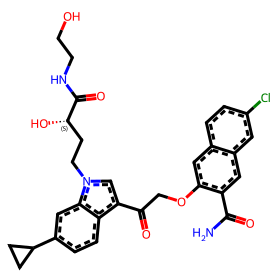 NC(=O)c1cc2cc(Cl)ccc2cc1OCC(=O)c1cn(CC[C@H](O)C(=O)NCCO)c2cc(C3CC3)ccc12